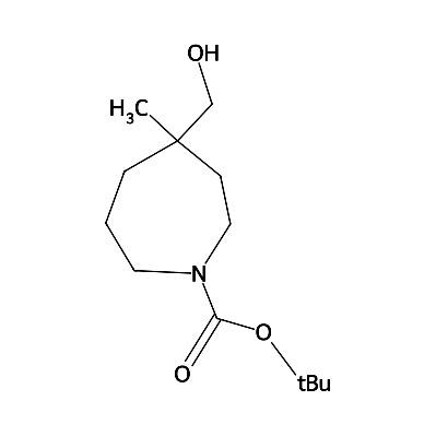 CC1(CO)CCCN(C(=O)OC(C)(C)C)CC1